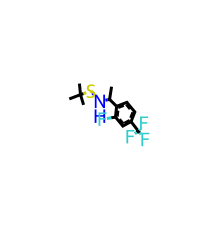 CC(NSC(C)(C)C)c1ccc(C(F)(F)F)cc1F